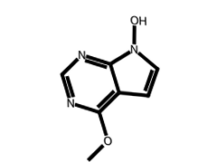 COc1ncnc2c1ccn2O